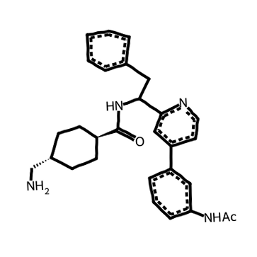 CC(=O)Nc1cccc(-c2ccnc(C(Cc3ccccc3)NC(=O)[C@H]3CC[C@H](CN)CC3)c2)c1